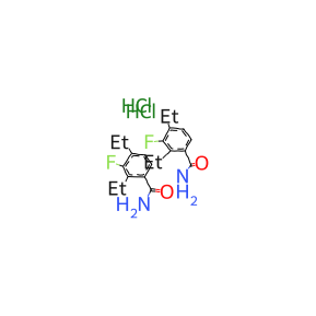 CCc1ccc(C(N)=O)c(CC)c1F.CCc1ccc(C(N)=O)c(CC)c1F.Cl.Cl